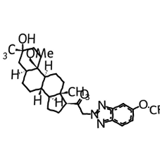 COC[C@]12CC[C@@](C)(O)C[C@@H]1CC[C@H]1[C@@H]3CC[C@H](C(=O)Cn4nc5ccc(OC(F)(F)F)cc5n4)[C@@]3(C)CC[C@@H]12